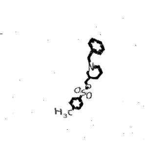 Cc1ccc(S(=O)(=O)OCC2CCCN(Cc3ccccc3)C2)cc1